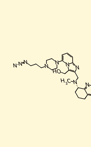 CN(Cc1nc2cccc(N3CCN(CCCN=[N+]=[N-])CC3)n2c1CO)[C@H]1CCCc2cccnc21